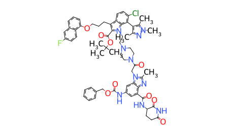 Cc1nn(C)c(C)c1-c1c(Cl)ccc2c(CCCOc3cccc4cc(F)ccc34)c(C(=O)OC(C)(C)C)n(CCN3CCN(C(=O)Cn4c(C)nc5c(C(=O)NC6CCC(=O)NC6=O)cc(NC(=O)OCc6ccccc6)cc54)CC3)c12